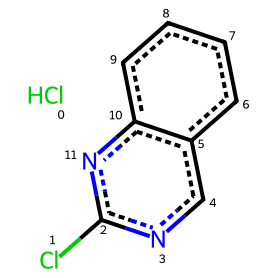 Cl.Clc1ncc2ccccc2n1